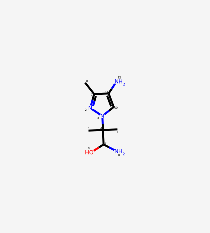 Cc1nn(C(C)(C)C(N)O)cc1N